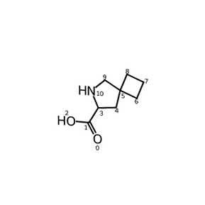 O=C(O)C1CC2(CCC2)CN1